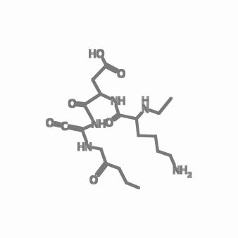 CCCC(=O)CNC(=C=O)NC(=O)C(CC(=O)O)NC(=O)C(CCCCN)NCC